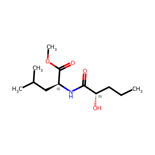 CCC[C@H](O)C(=O)N[C@@H](CC(C)C)C(=O)OC